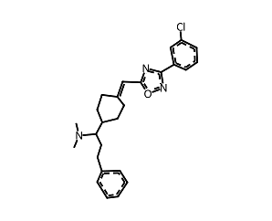 CN(C)C(CCc1ccccc1)C1CCC(=Cc2nc(-c3cccc(Cl)c3)no2)CC1